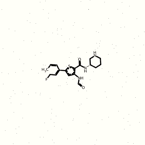 C/C=C\C(=C/CF)c1cc(NC=O)c(C(=O)N[C@H]2CCCNC2)s1